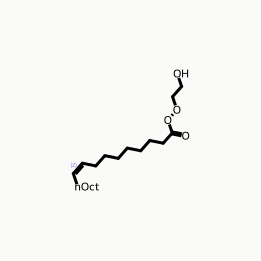 CCCCCCCC/C=C\CCCCCCCC(=O)OOCCO